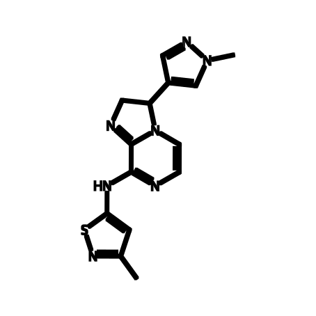 Cc1cc(NC2=NC=CN3C2=NCC3c2cnn(C)c2)sn1